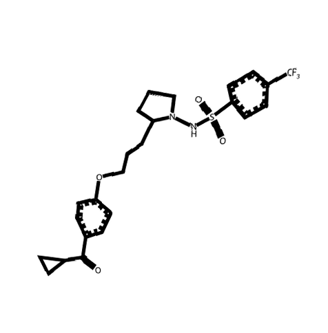 O=C(c1ccc(OCCCC2CCCN2NS(=O)(=O)c2ccc(C(F)(F)F)cc2)cc1)C1CC1